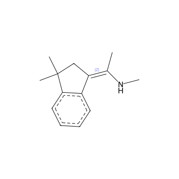 CN/C(C)=C1/CC(C)(C)c2ccccc21